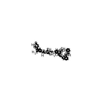 Cc1c(OCCCN2[C@H](C)CN(CC(=O)Nc3ccc4c(C5CCC(=O)NC5=O)nn(C)c4c3)C[C@@H]2C)cccc1-c1ccc(N2CCc3cccc(C(=O)Nc4nc5ccccc5s4)c3C2)nc1C(=O)OC(C)(C)C